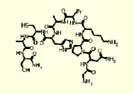 CC(NC(=O)C(CS)NC(=O)C(Cc1cnc[nH]1)NC(=O)C(C)NC(=O)C(NC(=O)C(CCCCN)NC(=O)C1CCCN1C(=O)C(CC(N)=O)NC(=O)CN)C(C)C)C(=O)NC(CO)C(N)=O